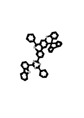 c1ccc(-c2nc(-c3ccc4c(c3)nc(-c3ccccc3)c3cc5c(cc34)C3(c4ccccc4S5)c4ccccc4-c4ccccc43)nc(-c3cccc4c3oc3ccccc34)n2)cc1